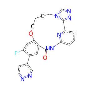 O=C1Nc2cccc(n2)-c2nncn2CCCCOc2cc(F)c(-c3ccnnc3)cc21